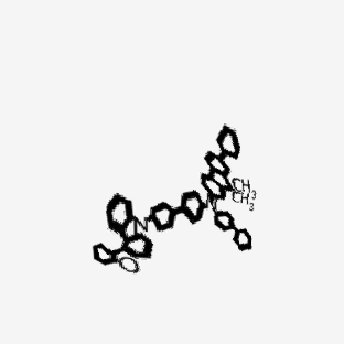 CC1(C)c2cc(-c3ccccc3)ccc2-c2ccc(N(c3ccc(-c4ccccc4)cc3)c3ccc(-c4ccc(-n5c6ccccc6c6c7c(ccc65)oc5ccccc57)cc4)cc3)cc21